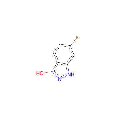 Oc1n[nH]c2cc(Br)ccc12